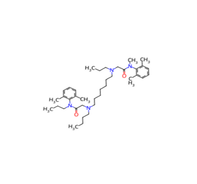 CCCCN(CCCCCCCN(CCC)CC(=O)N(C)c1c(C)cccc1C)CC(=O)N(CCC)c1c(C)cccc1C